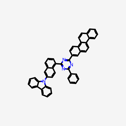 c1ccc(-c2nc(-c3ccc4c(ccc5c6ccccc6ccc45)c3)nc(-c3cccc4cc(-n5c6ccccc6c6ccccc65)ccc34)n2)cc1